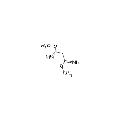 COC(=N)CC(=N)OC